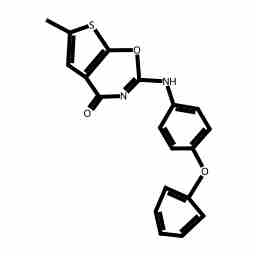 Cc1cc2c(=O)nc(Nc3ccc(Oc4ccccc4)cc3)oc2s1